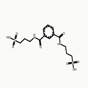 O=C(NCCCS(=O)(=O)O)c1cccc(C(=O)NCCCS(=O)(=O)O)c1